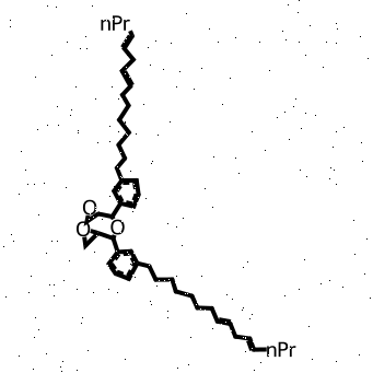 CCCC=CCC=CCCCCCCCc1cccc(C(OC(c2cccc(CCCCCCCC=CCC=CCCC)c2)C2CO2)C2CO2)c1